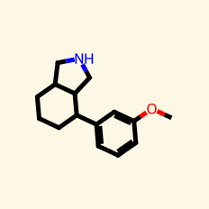 COc1cccc(C2CCCC3CNCC32)c1